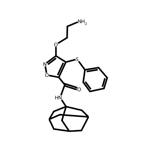 NCCOc1noc(C(=O)NC23CC4CC(CC(C4)C2)C3)c1Sc1ccccc1